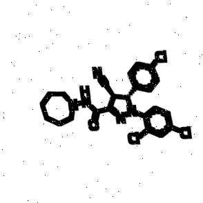 N#C[C@@H]1C(C(=O)NN2CCCCCC2)=NN(c2ccc(Cl)cc2Cl)[C@H]1c1ccc(Cl)cc1